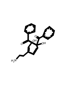 NCCC1=CC(O)(C(=O)c2ccccc2)C(O)(C(=O)c2ccccc2)C=C1